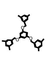 Cc1cc(C)cc(COc2cc(OCc3cc(C)cc(C)c3)cc(OCc3cc(C)cc(C)c3)c2)c1